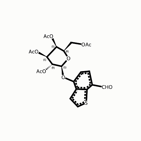 CC(=O)OC[C@H]1O[C@@H](Oc2ccc(C=O)c3sccc23)[C@H](OC(C)=O)[C@@H](OC(C)=O)[C@H]1OC(C)=O